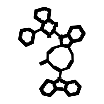 C=C1/C=C\c2c(c3ccccc3n2-c2nc(-c3ccccc3)c3ccccc3n2)C/C=C\C(n2c3ccccc3c3ccccc32)=C/1